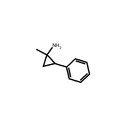 CC1(N)CC1c1ccccc1